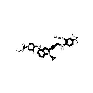 COc1cc(S(C)(=O)=O)ccc1NCC#Cc1cc2c(NC3CCN(C(=O)OC(C)(C)C)CC3F)cccc2n1C1CC1